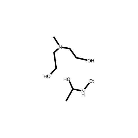 CCNC(C)O.CN(CCO)CCO